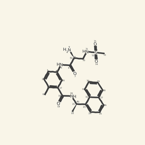 Cc1ccc(NC(=O)[C@@H](N)CNS(C)(=O)=O)cc1C(=O)N[C@H](C)c1cccc2ccccc12